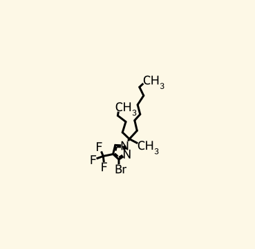 CCCCCCCC(C)(CCCC)n1cc(C(F)(F)F)c(Br)n1